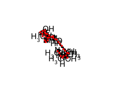 CCc1c(F)ccc2cc(O)cc(-c3ncc4c(N5CC6CCC(C5)N6)nc(OCC56CCCN5C(COC(=O)NCCCCCCCC(=O)N[C@H](C(=O)N5C[C@H](O)C[C@H]5C(=O)N[C@@H](C)c5ccc(C7=C(C)N=CC7)cc5)C(C)(C)C)CC6)nc4c3F)c12